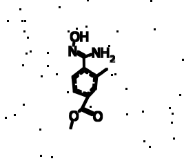 COC(=O)c1ccc(/C(N)=N/O)c(C)c1